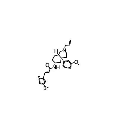 C=CCN1CC[C@@]2(c3cccc(OC)c3)C[C@@H](NC(=O)C=Cc3cc(Br)cs3)CC[C@@H]2C1